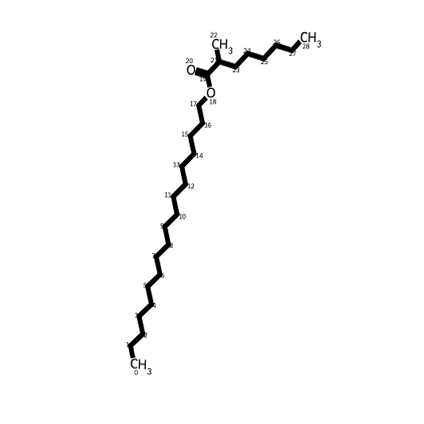 CCCCCCCCCCCCCCCCCCOC(=O)C(C)CCCCCC